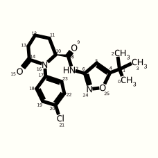 CC(C)(C)c1cc(NC(=O)[C@@H]2CCCC(=O)N2c2ccc(Cl)cc2)no1